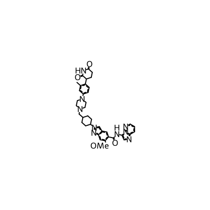 COc1cc2nn(C3CCC(CN4CCN(c5ccc(C6CCC(=O)NC6=O)c(C)c5)CC4)CC3)cc2cc1C(=O)Nc1cnc2cccnn12